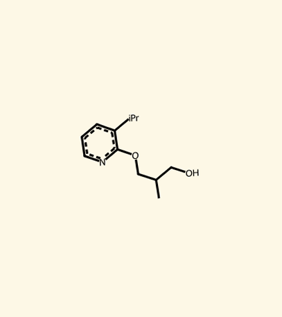 CC(CO)COc1ncccc1C(C)C